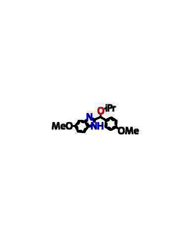 COc1ccc(C(OC(C)C)c2nc3cc(OC)ccc3[nH]2)cc1